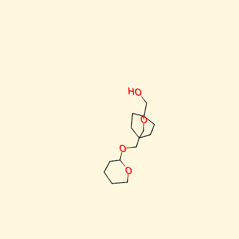 OCC12CCC(COC3CCCCO3)(CC1)CO2